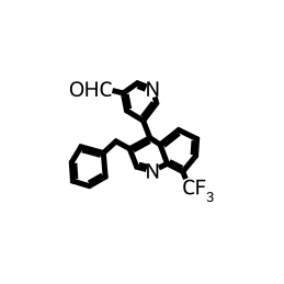 O=Cc1cncc(-c2c(Cc3ccccc3)cnc3c(C(F)(F)F)cccc23)c1